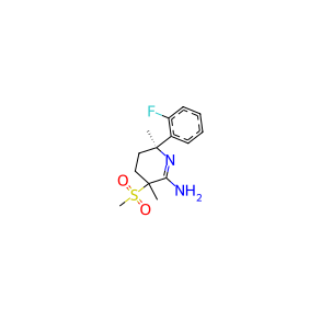 CC1(S(C)(=O)=O)CC[C@@](C)(c2ccccc2F)N=C1N